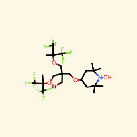 CC1(C)CC(OCC(CBr)(COC(C)(C(F)(F)F)C(F)(F)F)COC(C)(C(F)(F)F)C(F)(F)F)CC(C)(C)N1O